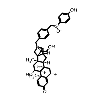 C[C@]12C=CC(=O)C=C1[C@@H](F)C[C@H]1[C@@H]3C[C@H]4CN(Cc5ccc(C[S+]([O-])c6ccc(O)cc6)cc5)C[C@@]4(C(=O)CO)[C@@]3(C)C[C@H](O)[C@@]12F